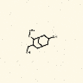 CCCCOC1C(CO)CC2CC(O)CC1C2